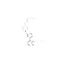 Cc1c(OC2CCC(CCCC=O)CC2)cccc1-c1cccnc1C(=O)O